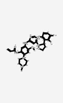 C=CC(=O)Nc1cc(Nc2cc(N3OCCC3c3c(F)ccc(F)c3F)ncn2)c(OC)cc1N1CCN(C)CC1